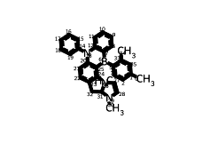 Cc1cc(C)c(B2c3ccccc3N(c3ccccc3)c3ccc4c(c32)N2C=CN(C)C2C4)c(C)c1